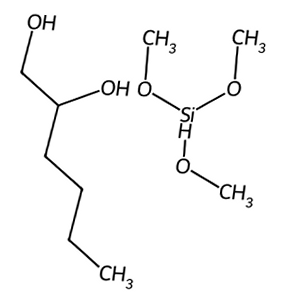 CCCCC(O)CO.CO[SiH](OC)OC